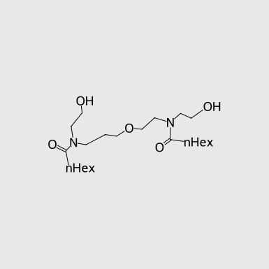 CCCCCCC(=O)N(CCO)CCCOCCN(CCO)C(=O)CCCCCC